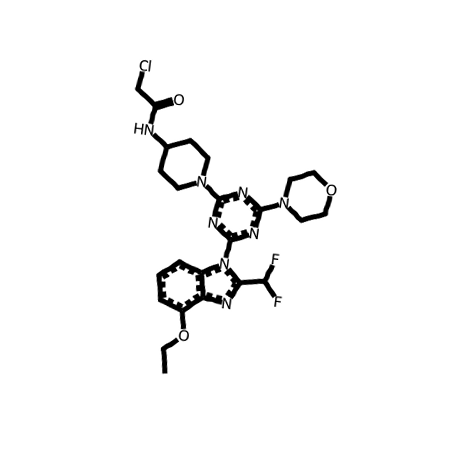 CCOc1cccc2c1nc(C(F)F)n2-c1nc(N2CCOCC2)nc(N2CCC(NC(=O)CCl)CC2)n1